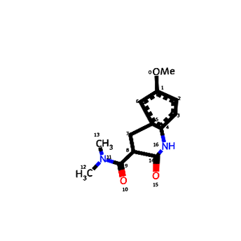 COc1ccc2c(c1)CC(C(=O)N(C)C)C(=O)N2